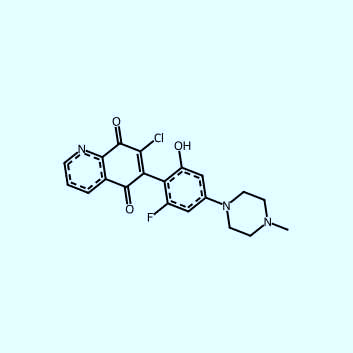 CN1CCN(c2cc(O)c(C3=C(Cl)C(=O)c4ncccc4C3=O)c(F)c2)CC1